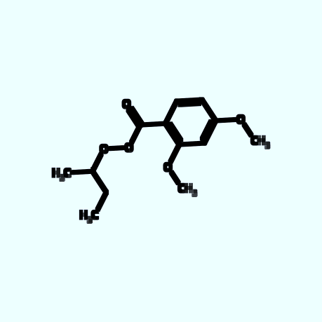 CC[C](C)OOC(=O)c1ccc(OC)cc1OC